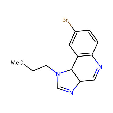 COCCN1C=NC2C=Nc3ccc(Br)cc3C21